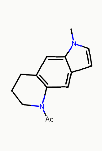 CC(=O)N1CCCc2cc3c(ccn3C)cc21